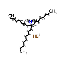 Br.CCCCCCCCCC(CCCCCCCC)(CCCCCCCC)N(C)C